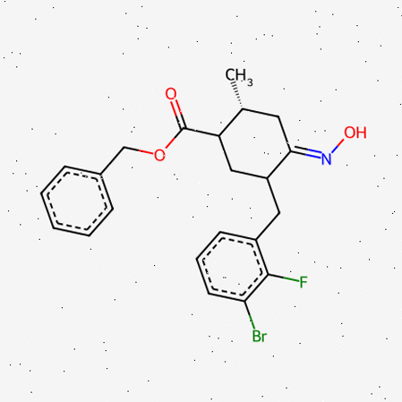 C[C@@H]1C/C(=N\O)C(Cc2cccc(Br)c2F)CC1C(=O)OCc1ccccc1